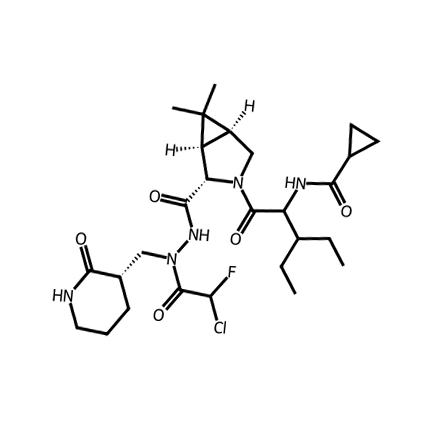 CCC(CC)C(NC(=O)C1CC1)C(=O)N1C[C@H]2[C@@H]([C@H]1C(=O)NN(C[C@@H]1CCCNC1=O)C(=O)C(F)Cl)C2(C)C